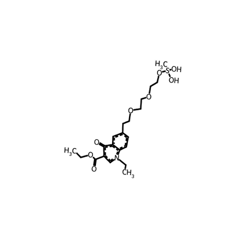 CCOC(=O)c1cn(CC)c2ccc(CCOCCOCCOS(C)(O)O)cc2c1=O